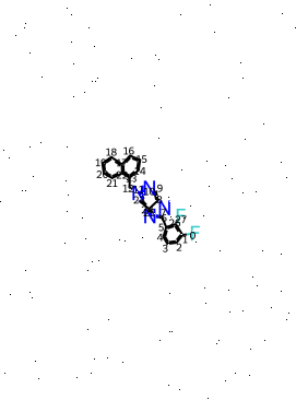 Fc1cccc(-c2nc3cnn(Cc4cccc5ccccc45)cc-3n2)c1F